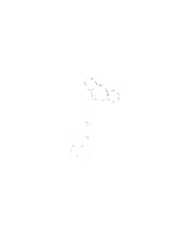 O[C@@H](CN1CCC(Cn2sc3ccccc3oc3ccccc32)CC1)C12CC3CC(CC(C3)C1)C2